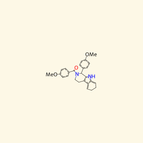 COc1ccc(C(=O)N2CCc3c([nH]c4c3=CCCC=4)C2c2ccc(OC)cc2)cc1